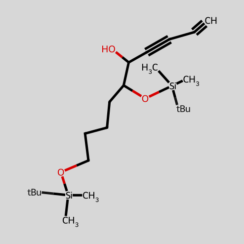 C#CC#CC(O)C(CCCCO[Si](C)(C)C(C)(C)C)O[Si](C)(C)C(C)(C)C